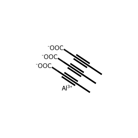 CC#CC(=O)[O-].CC#CC(=O)[O-].CC#CC(=O)[O-].[Al+3]